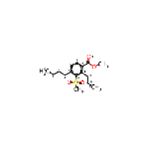 CCCCc1ccc(C(=O)OC)c(CCC)c1S(C)(=O)=O